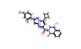 C[C@@H]1c2ccccc2C(F)CN1C(=O)c1cc(C2CCC2)n2nc(-c3ccc(Br)cc3F)cc2n1